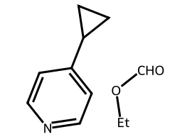 CCOC=O.c1cc(C2CC2)ccn1